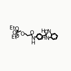 CCOP(=O)(COCCC(=O)Nc1ccc(C(=O)Nc2ccccc2N)cc1)OCC